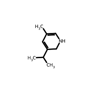 CC1=CNCC(C(C)C)=C1